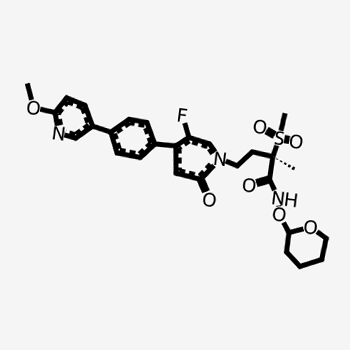 COc1ccc(-c2ccc(-c3cc(=O)n(CC[C@](C)(C(=O)NOC4CCCCO4)S(C)(=O)=O)cc3F)cc2)cn1